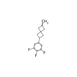 C=C1CC2(C1)CC(c1cc(F)c(F)c(F)c1)C2